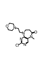 CN1C(=O)CCN(CCN2CCOCC2)c2nc(Cl)ncc21